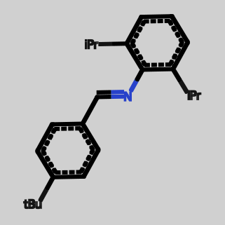 CC(C)c1cccc(C(C)C)c1N=Cc1ccc(C(C)(C)C)cc1